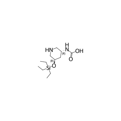 CC[Si](CC)(CC)O[C@H]1CNC[C@H](NC(=O)O)C1